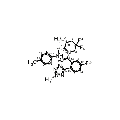 C[C@@H]1CC(F)(F)CN(C(=O)c2cc(F)ccc2-c2nnn(C)n2)[C@@H]1CNc1ncc(C(F)(F)F)cn1